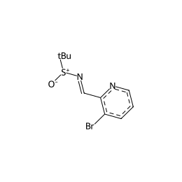 CC(C)(C)[S+]([O-])N=Cc1ncccc1Br